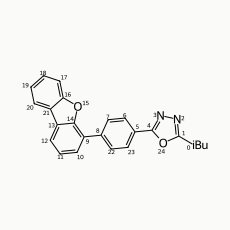 CCC(C)c1nnc(-c2ccc(-c3cccc4c3oc3ccccc34)cc2)o1